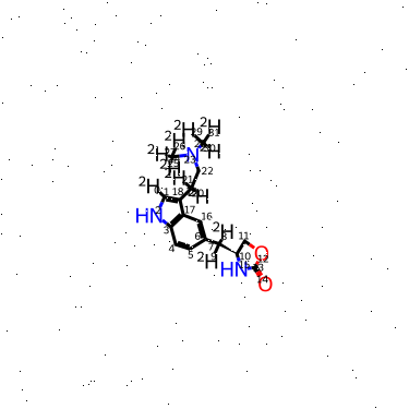 [2H]c1[nH]c2ccc(C([2H])([2H])[C@H]3COC(=O)N3)cc2c1C([2H])([2H])CN(C([2H])([2H])[2H])C([2H])([2H])[2H]